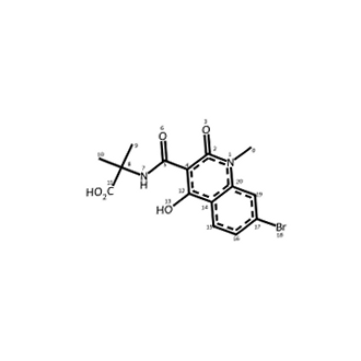 Cn1c(=O)c(C(=O)NC(C)(C)C(=O)O)c(O)c2ccc(Br)cc21